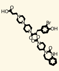 O=C(O)CCN1CCN(C2CCN(C(=O)[C@@H](Cc3ccc(O)c(Br)c3)OC(=O)N3CCC(N4CCc5ccccc5NC4=O)CC3)CC2)CC1